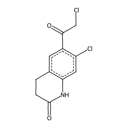 O=C1CCc2cc(C(=O)CCl)c(Cl)cc2N1